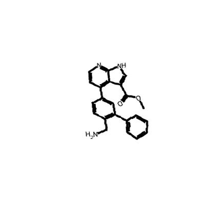 COC(=O)c1c[nH]c2nccc(-c3ccc(CN)c(-c4ccccc4)c3)c12